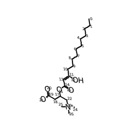 CCCCCCCCCCCC(O)=CC(=O)OC(CC(=O)[O-])C[N+](C)(C)C